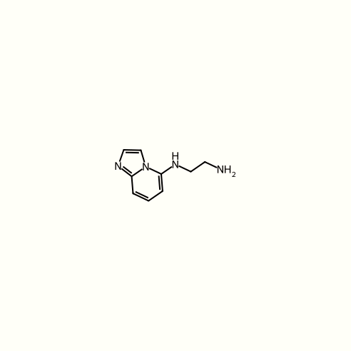 NCCNc1cccc2nccn12